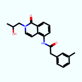 Cc1cccc(CC(=O)Nc2cccc3c(=O)n(CC(C)O)ccc23)c1